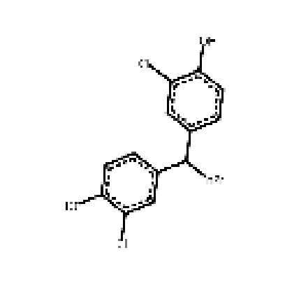 CCCC(c1ccc(O)c(Cl)c1)c1ccc(O)c(Cl)c1